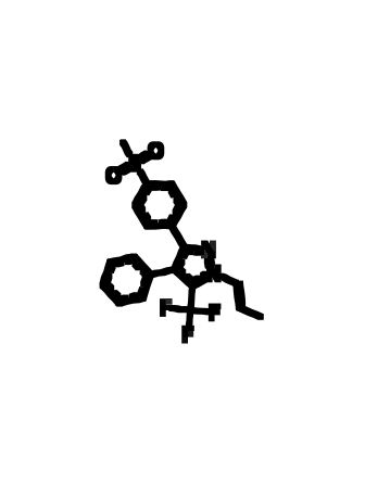 CC=Cn1nc(-c2ccc(S(C)(=O)=O)cc2)c(-c2ccccc2)c1C(F)(F)F